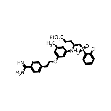 CCOC(=O)CCC(CS(=O)(=O)c1ccccc1Cl)Nc1cc(C)cc(OCCc2ccc(C(=N)N)cc2)c1